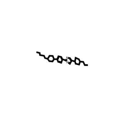 CCCCCC1CCC(c2ccc(-c3ncc(C4CCC(CCC)CC4)cn3)cc2)CC1